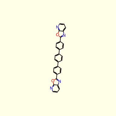 c1cnc2oc(-c3ccc(-c4ccc(-c5ccc(-c6nc7cccnc7o6)cc5)cc4)cc3)nc2c1